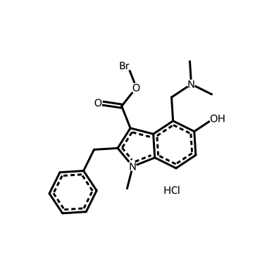 CN(C)Cc1c(O)ccc2c1c(C(=O)OBr)c(Cc1ccccc1)n2C.Cl